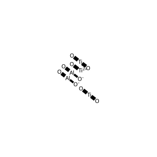 [O]=[Al][O-].[O]=[Al][O-].[O]=[Ti+2].[O]=[Ti]=[O].[O]=[Ti]=[O]